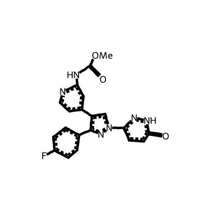 COC(=O)Nc1cc(-c2cn(-c3ccc(=O)[nH]n3)nc2-c2ccc(F)cc2)ccn1